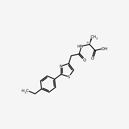 CCc1ccc(-c2nc(CC(=O)N[C@@H](C)C(=O)O)cs2)cc1